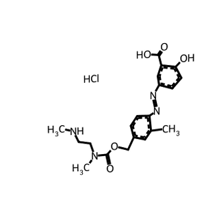 CNCCN(C)C(=O)OCc1ccc(/N=N/c2ccc(O)c(C(=O)O)c2)c(C)c1.Cl